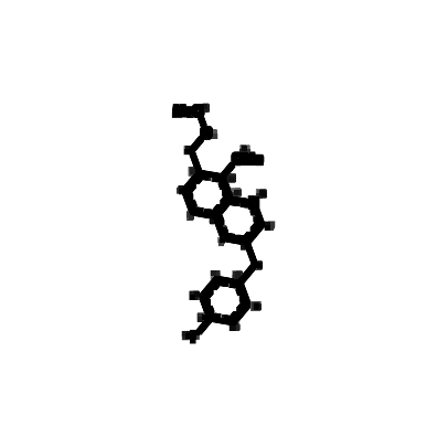 COOCc1ccc2cc(Cc3ccc(F)cc3)cnc2c1OC